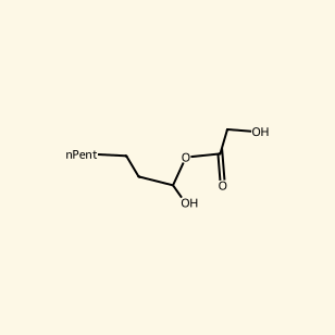 CCCCCCCC(O)OC(=O)CO